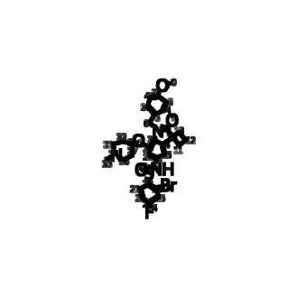 COc1ccc(CN2C(=O)C3(CCC3)c3cc(N[S+]([O-])c4ccc(F)cc4Br)cc(OC4CCN(C)CC4)c32)cc1